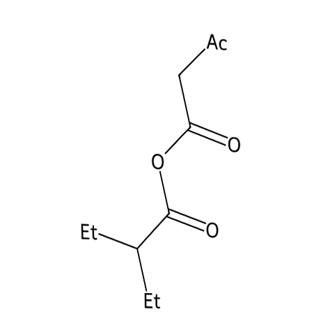 CCC(CC)C(=O)OC(=O)CC(C)=O